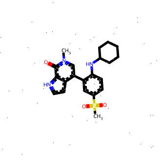 Cn1cc(-c2cc(S(C)(=O)=O)ccc2NC2CCCCC2)c2cc[nH]c2c1=O